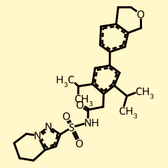 CC(C)c1cc(-c2ccc3c(c2)COCC3)cc(C(C)C)c1CC(=O)NS(=O)(=O)c1cc2n(n1)CCCC2